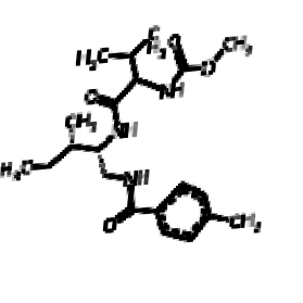 CC[C@H](C)[C@@H](CNC(=O)c1ccc(C)cc1)NC(=O)C(NC(=O)OC)C(C)C